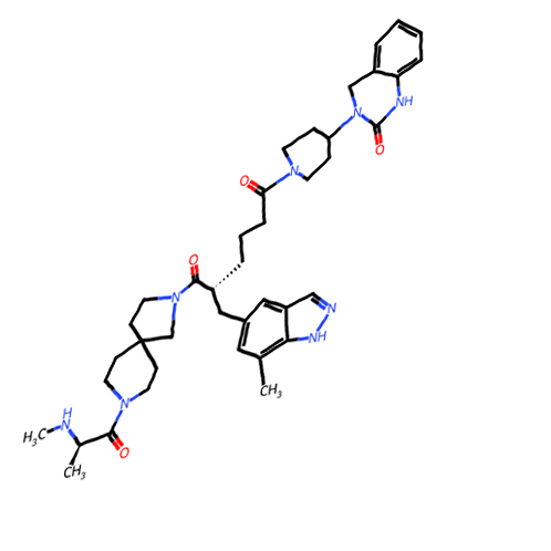 CN[C@H](C)C(=O)N1CCC2(CCN(C(=O)[C@H](CCCC(=O)N3CCC(N4Cc5ccccc5NC4=O)CC3)Cc3cc(C)c4[nH]ncc4c3)C2)CC1